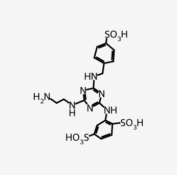 NCCNc1nc(NCc2ccc(S(=O)(=O)O)cc2)nc(Nc2cc(S(=O)(=O)O)ccc2S(=O)(=O)O)n1